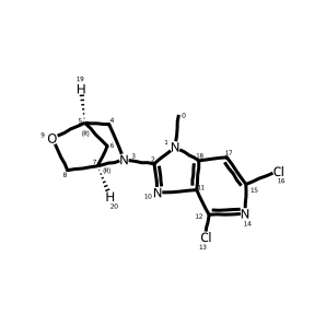 Cn1c(N2C[C@H]3C[C@@H]2CO3)nc2c(Cl)nc(Cl)cc21